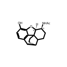 CC(=O)N[C@H]1CCC2C3Cc4ccc(O)c5c4C2(CCN3)[C@H]1O5